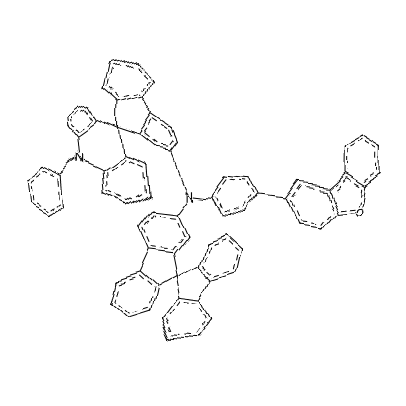 c1ccc(N2c3ccccc3C3(c4ccccc4-c4ccc(N(c5ccc(-c6ccc7oc8ccccc8c7c6)cc5)c5ccc6c(c5)C5(c7ccccc7-c7ccccc75)c5ccccc5-6)cc43)c3ccccc32)cc1